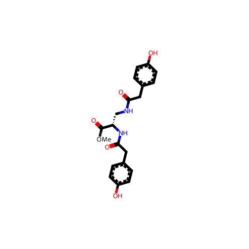 COC(=O)[C@H](CNC(=O)Cc1ccc(O)cc1)NC(=O)Cc1ccc(O)cc1